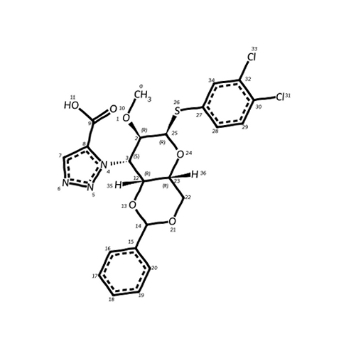 CO[C@@H]1[C@@H](n2nncc2C(=O)O)[C@H]2OC(c3ccccc3)OC[C@H]2O[C@@H]1Sc1ccc(Cl)c(Cl)c1